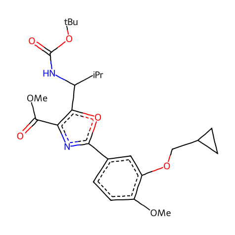 COC(=O)c1nc(-c2ccc(OC)c(OCC3CC3)c2)oc1C(NC(=O)OC(C)(C)C)C(C)C